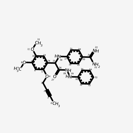 CC#CCOc1cc(OC)c(OC)cc1C(Nc1ccc(C(=N)N)cc1)C(=O)NNc1ccccc1